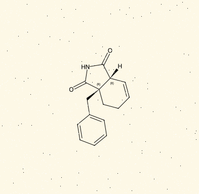 O=C1NC(=O)[C@@]2(Cc3ccccc3)CCC=C[C@@H]12